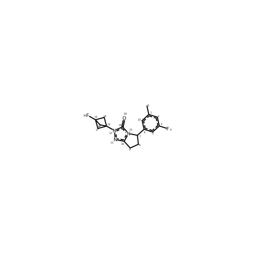 Cc1cc(F)cc(C2CCc3nn(C45CC(F)(C4)C5)c(=O)n32)c1